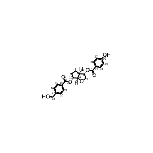 O=C(O[C@@H]1CO[C@H]2[C@@H]1CC[C@H]2OC(=O)c1ccc(CO)cc1)c1ccc(O)cc1